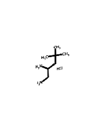 CC(C)(C)CC(N)CN.Cl